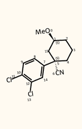 CO[C@H]1CCC[C@@](C#N)(c2ccc(Cl)c(Cl)c2)C1